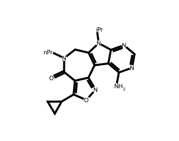 CCCN1Cc2c(c3c(N)ncnc3n2C(C)C)-c2noc(C3CC3)c2C1=O